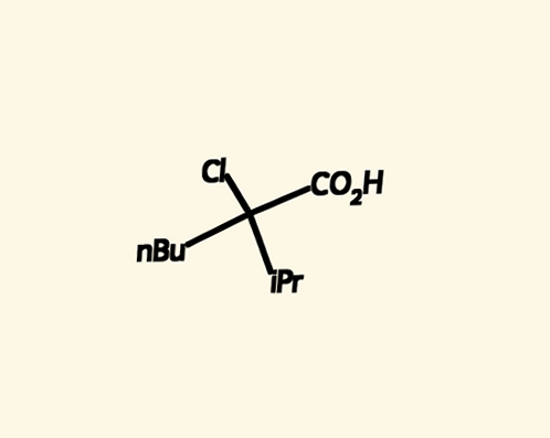 CCCCC(Cl)(C(=O)O)C(C)C